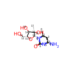 Cc1cc(N)nc(=O)n1[C@@H]1O[C@H](CO)C(O)[C@@]1(C)O